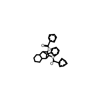 O=C(OC1C(OC(=O)c2ccccc2)C2C3CCCCC3C1C2c1ccccc1)c1ccccc1